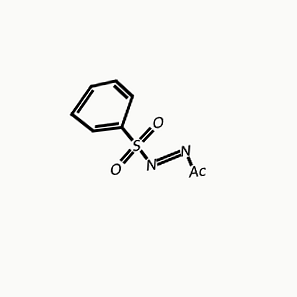 CC(=O)N=NS(=O)(=O)c1ccccc1